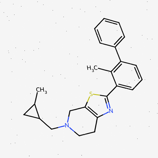 Cc1c(-c2ccccc2)cccc1-c1nc2c(s1)CN(CC1CC1C)CC2